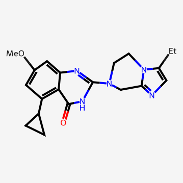 CCc1cnc2n1CCN(c1nc3cc(OC)cc(C4CC4)c3c(=O)[nH]1)C2